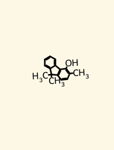 Cc1ccc2c(c1O)-c1ccccc1C2(C)C